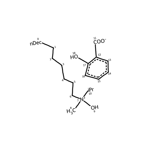 CCCCCCCCCCCCCCCC[N+](C)(O)C(C)C.O=C([O-])c1ccccc1O